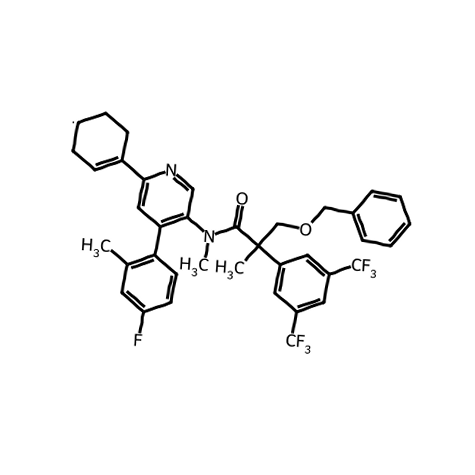 Cc1cc(F)ccc1-c1cc(C2=CC[CH]CC2)ncc1N(C)C(=O)C(C)(COCc1ccccc1)c1cc(C(F)(F)F)cc(C(F)(F)F)c1